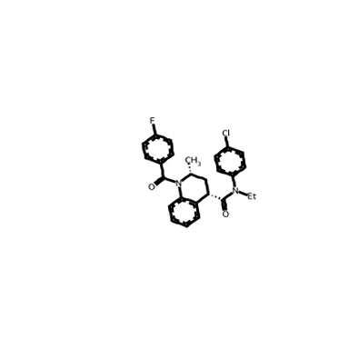 CCN(C(=O)[C@H]1C[C@@H](C)N(C(=O)c2ccc(F)cc2)c2ccccc21)c1ccc(Cl)cc1